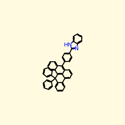 c1ccc(C2(c3ccccc3)c3ccccc3-c3cccc4c(-c5ccc(-c6nc7ccccc7[nH]6)cc5)c5ccccc5c2c34)cc1